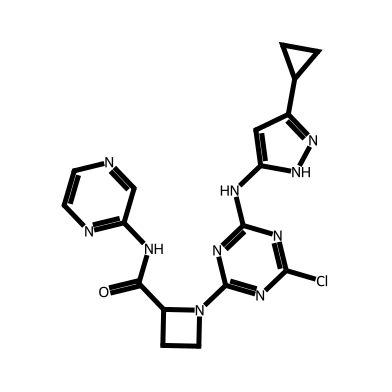 O=C(Nc1cnccn1)C1CCN1c1nc(Cl)nc(Nc2cc(C3CC3)n[nH]2)n1